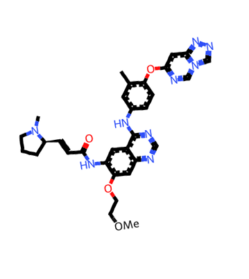 COCCOc1cc2ncnc(Nc3ccc(Oc4cc5nncn5cn4)c(C)c3)c2cc1NC(=O)/C=C/[C@H]1CCCN1C